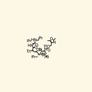 CC[C@H](C[C@H](O)[C@@H](CC(C)C)NC(=O)[C@H](CS(C)(=O)=O)NC(=O)OCc1nc(C)oc1C)C(=O)N[C@@H](C(=O)NCC(C)C)C(C)C